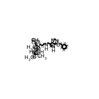 COC(=O)C(C)NP(=O)(O)ON(CCCNCc1c[nH]c2c(OCc3ccccc3)ncnc12)C(C)C(=O)OC